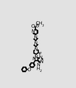 COC(=O)c1ccc(N2CC(N3CC(N4CC[C@H](n5nc(-c6ccc(Oc7ccccc7)cc6)c6c(N)ncnc65)[C@H](F)C4)C3)C2)cn1